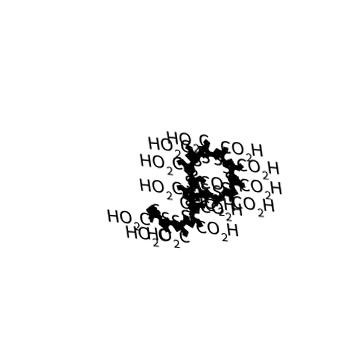 O=CCc1cc(-c2sc(-c3sc(-c4sc(-c5sc(C6SC(c7sc(-c8sc(-c9sc(-c%10sc(-c%11sc(C%12SC(c%13sc(-c%14sc(-c%15sccc%15CC(=O)O)cc%14CC(=O)O)cc%13CC(=O)O)=CC%12CC(=O)O)cc%11CC(=O)O)cc%10CC(=O)O)cc9CC(=O)O)cc8CC(=O)O)cc7CC(=O)O)=CC6CC(=O)O)cc5CC(=O)O)cc4CC(=O)O)cc3CC(=O)O)cc2CC(=O)O)sc1-c1cc(CC(=O)O)cs1